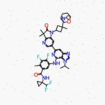 Cc1c(C(=O)NC2(C(F)F)CC2)cc(Nc2nc(-c3cnc4c(c3)N(C3CC(C)(N5CC6CCC5CO6)C3)C(=O)C4(C)C)cc3ncn(C(C)C)c23)c(F)c1F